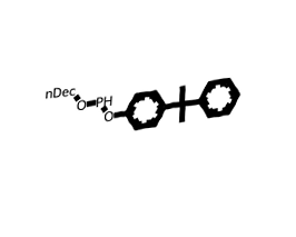 CCCCCCCCCCOPOc1ccc(C(C)(C)c2ccccc2)cc1